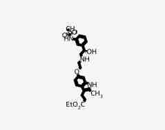 CCOC(=O)CCc1c(C)[nH]c2cc(OCCNC[C@H](O)c3cccc(NS(C)(=O)=O)c3)ccc12